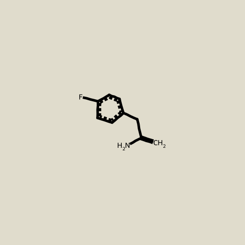 C=C(N)Cc1ccc(F)cc1